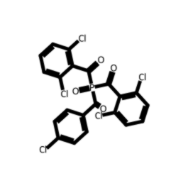 O=C(c1ccc(Cl)cc1)P(=O)(C(=O)c1c(Cl)cccc1Cl)C(=O)c1c(Cl)cccc1Cl